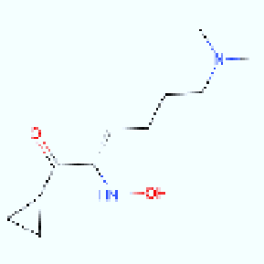 CN(C)CCCC[C@H](NO)C(=O)C1CC1